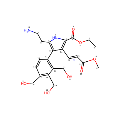 CCOC(=O)c1[nH]c(CCN)c(-c2ccc(CO)c(CO)c2CO)c1/C=C/C(=O)OC